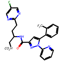 O=C(O)CC(CCc1ncc(F)cn1)NC(=O)c1cc(-c2ccccc2C(F)(F)F)n(-c2ccccn2)n1